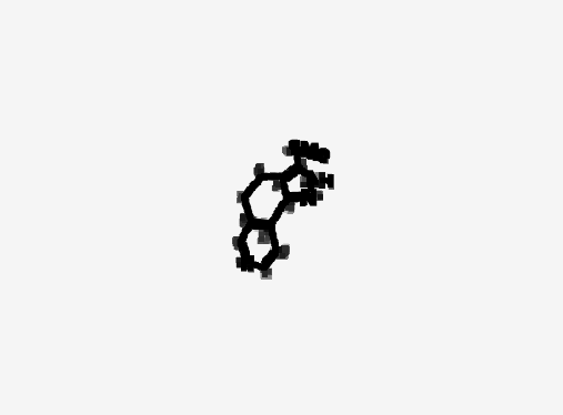 CSc1[nH]nc2c1CCc1cnccc1-2